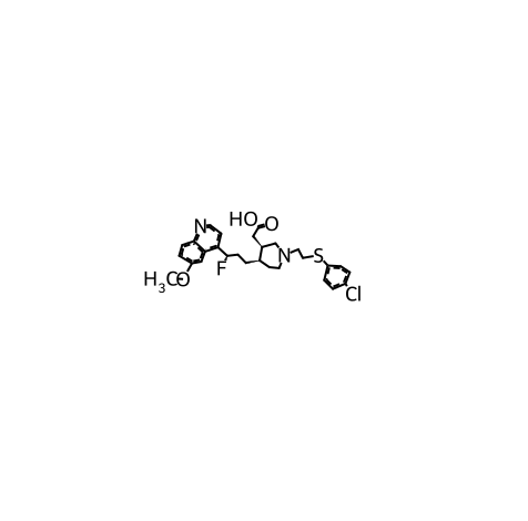 COc1ccc2nccc([C@H](F)CC[C@@H]3CCN(CCSc4ccc(Cl)cc4)C[C@@H]3CC(=O)O)c2c1